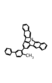 Cc1ccc(-c2ccccc2)cc1-c1cc2c3cc4ccccc4cc3n3c4cc5ccccc5cc4c(c1)c23